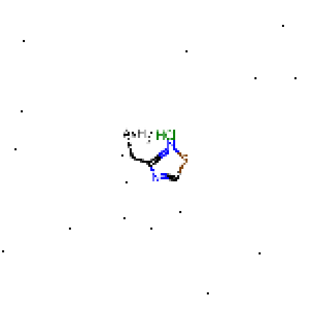 Cl.[AsH2]Cc1ncsn1